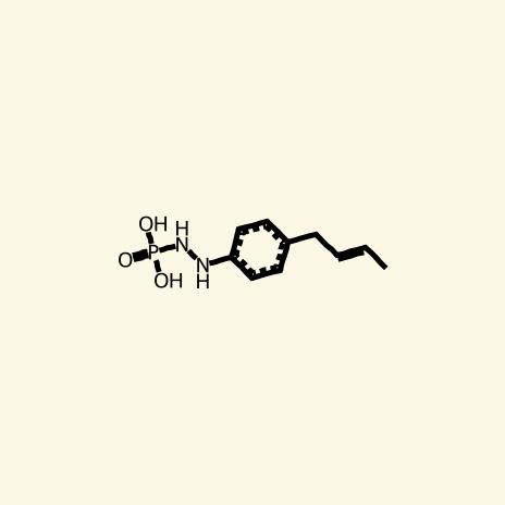 CC=CCc1ccc(NNP(=O)(O)O)cc1